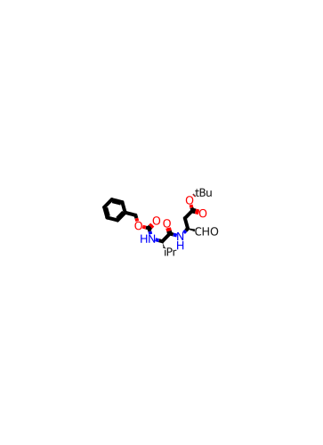 CC(C)[C@H](NC(=O)OCc1ccccc1)C(=O)N[C@H](C=O)CC(=O)OC(C)(C)C